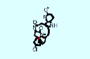 COC1=NC2C3=C(CCC4=CC(=CCC4)C/C(C(=O)N(C)c4ccc(Cl)cc4)=N/C(=O)C3)NC2C=C1